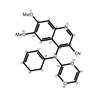 COc1cc2ncc(C#N)c(N(C3=CC=CCC3)C3=COC=CO3)c2cc1OC